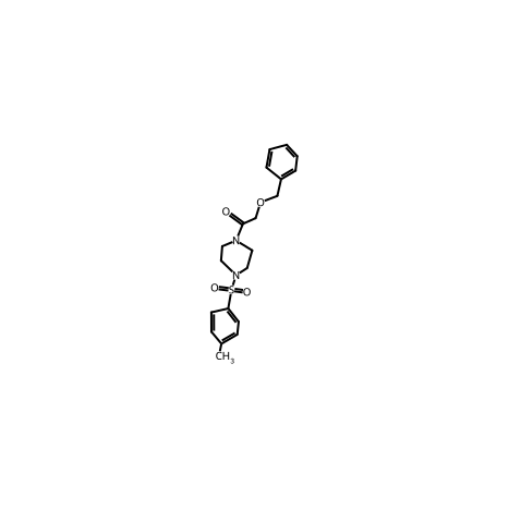 Cc1ccc(S(=O)(=O)N2CCN(C(=O)COCc3ccccc3)CC2)cc1